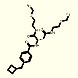 [2H]COCCNC(=O)C[C@H](NC(=O)c1ccc(CC2CCC2)cc1)C(=O)NCCOC[2H]